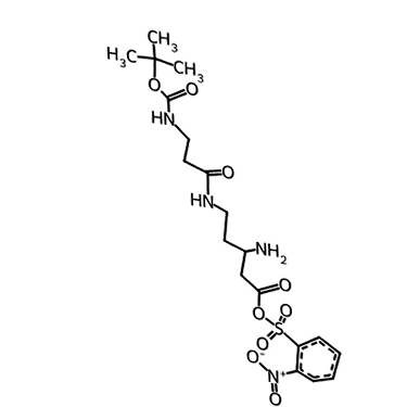 CC(C)(C)OC(=O)NCCC(=O)NCCC(N)CC(=O)OS(=O)(=O)c1ccccc1[N+](=O)[O-]